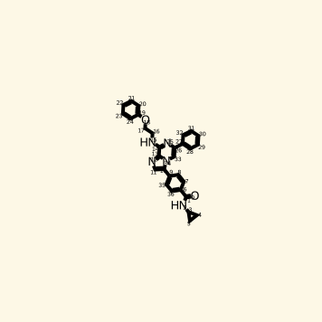 O=C(NC1CC1)c1ccc(-c2cnc3c(NCCOc4ccccc4)nc(-c4ccccc4)cn23)cc1